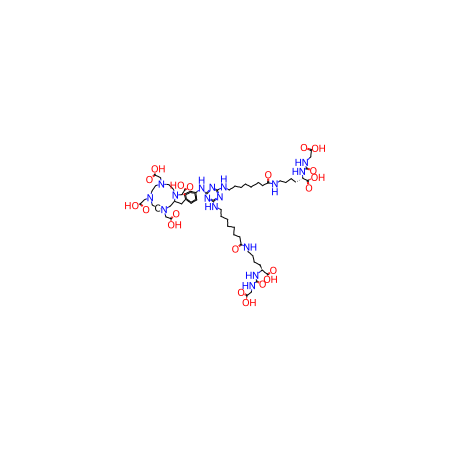 O=C(O)CNC(=O)N[C@@H](CCCCNC(=O)CCCCCCCNc1nc(NCCCCCCCC(=O)NCCCC[C@H](NC(=O)NCC(=O)O)C(=O)O)nc(Nc2ccc(CC3CN(CC(=O)O)CCN(CC(=O)O)CCN(CC(=O)O)CCN3CC(=O)O)cc2)n1)C(=O)O